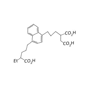 CCC(CCCc1ccc(CCCC(CC(=O)O)C(=O)O)c2ccccc12)C(=O)O